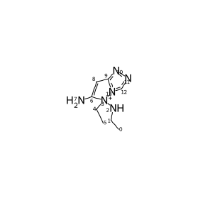 CCN[N+]1(CC)C(N)=Cc2nncn21